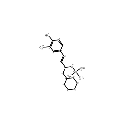 CC(C)(C)c1ccc(C=C[C@H](CC2CCCCC2)O[Si](C)(C)C(C)(C)C)cc1[N+](=O)[O-]